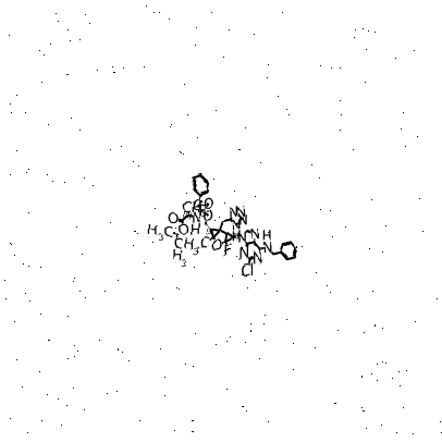 CC(C)OC(=O)[C@H](C)NP(=O)(OC[C@H]1C2(C)OC3(F)C([C@@H]3n3cnc4c(NCc5ccccc5)nc(Cl)nc43)C12Cc1nnn[nH]1)Oc1ccccc1